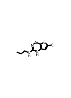 CCCNC1=NSc2sc(Cl)cc2N1